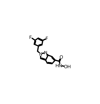 O=C(NO)c1ccc2cn(Cc3cc(F)cc(F)c3)nc2c1